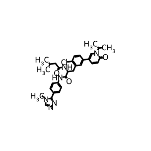 CC(C)CC(=O)NC(Cc1cc(-c2ccc(=O)n(C(C)C)c2)ccc1Cl)C(=O)Nc1ccc(-c2nncn2C)cc1